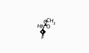 COC(=O)NC12CC(F)(C1)C2